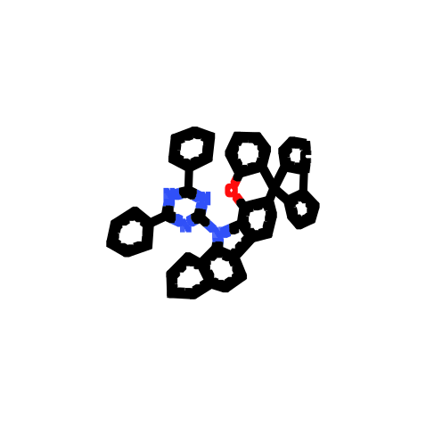 c1ccc(-c2nc(-c3ccccc3)nc(-n3c4c5c(ccc4c4ccc6ccccc6c43)C3(c4ccccc4O5)c4ccccc4-c4ccccc43)n2)cc1